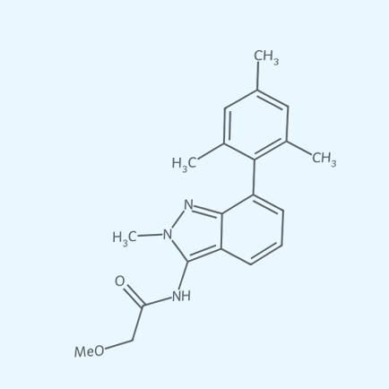 COCC(=O)Nc1c2cccc(-c3c(C)cc(C)cc3C)c2nn1C